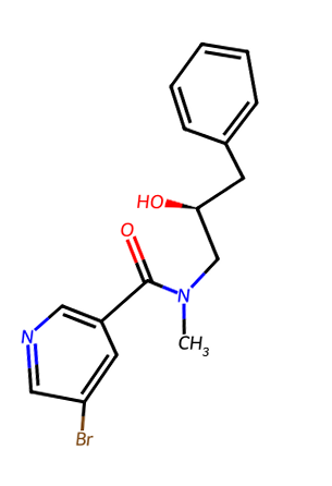 CN(C[C@@H](O)Cc1ccccc1)C(=O)c1cncc(Br)c1